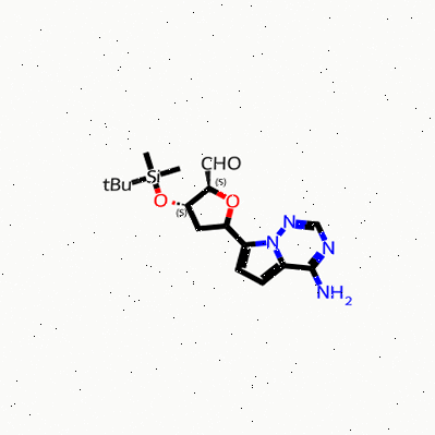 CC(C)(C)[Si](C)(C)O[C@H]1CC(c2ccc3c(N)ncnn23)O[C@@H]1C=O